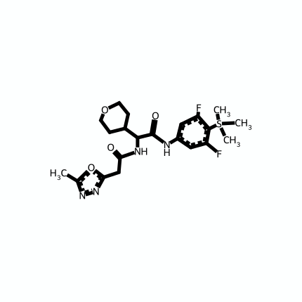 Cc1nnc(CC(=O)NC(C(=O)Nc2cc(F)c(S(C)(C)C)c(F)c2)C2CCOCC2)o1